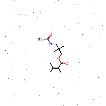 CC(C)=C(C)C(=O)OCC(C)(C)CNC(=O)C(C)(C)C